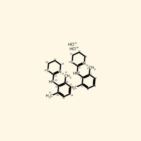 Cc1cccc(C)c1NC1=NCCCS1.Cc1cccc(C)c1NC1=NCCCS1.Cl.Cl